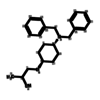 CC(O)CO[C@H]1CC[C@H](N(Cc2ccccc2)Cc2ccccc2)CC1